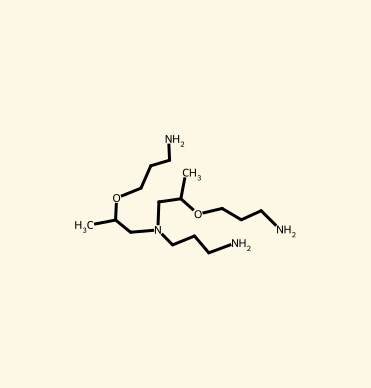 CC(CN(CCCN)CC(C)OCCCN)OCCCN